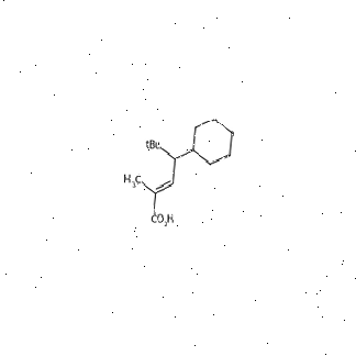 CC(=CC(C1CCCCC1)C(C)(C)C)C(=O)O